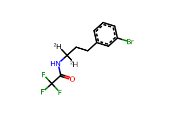 [2H]C([2H])(CCc1cccc(Br)c1)NC(=O)C(F)(F)F